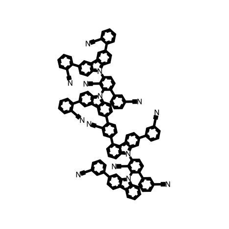 N#Cc1cccc(-c2ccc3c4ccccc4n(-c4c(-c5cccc(C#N)c5)ccc(-n5c6cc(-c7cccc(C#N)c7)ccc6c6c(-c7ccc(-c8ccc9c(c8)c8cc(-c%10ccccc%10C#N)ccc8n9-c8c(-c9cccc(C#N)c9)ccc(-n9c%10ccc(-c%11ccccc%11C#N)cc%10c%10cc(-c%11ccccc%11C#N)ccc%109)c8C#N)c(C#N)c7)cccc65)c4C#N)c3c2)c1